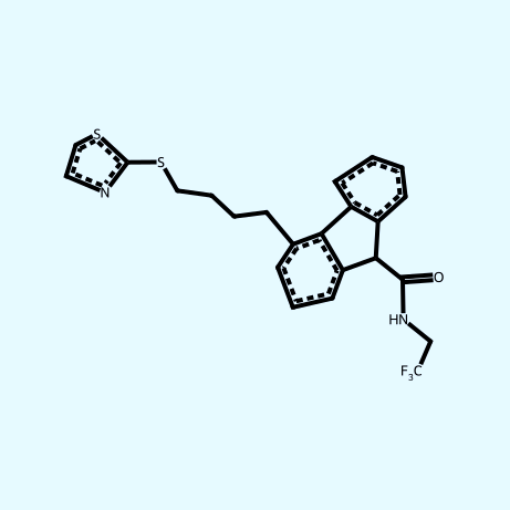 O=C(NCC(F)(F)F)C1c2ccccc2-c2c(CCCCSc3nccs3)cccc21